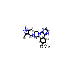 COc1ccc(-c2nccnc2N2CCN(Cc3c(C)nn(C)c3C)CC2)cc1